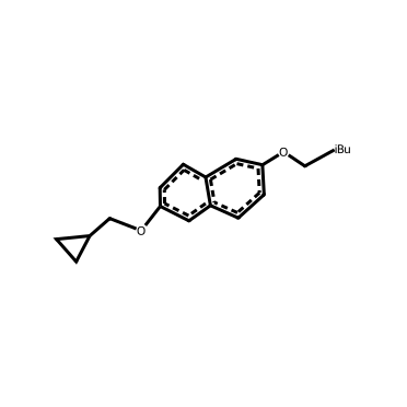 CCC(C)COc1ccc2cc(OCC3CC3)ccc2c1